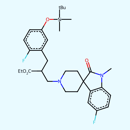 CCOC(=O)C(Cc1cc(O[Si](C)(C)C(C)(C)C)ccc1F)CN1CCC2(CC1)C(=O)N(C)c1ccc(F)cc12